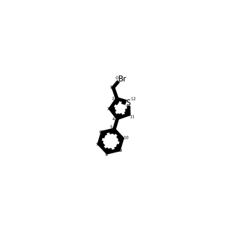 BrCc1cc(-c2ccccc2)cs1